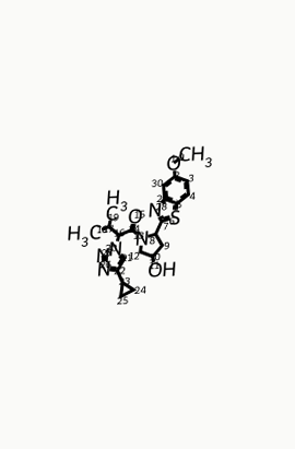 COc1ccc2sc(C3CC(O)CN3C(=O)C(C(C)C)n3cc(C4CC4)nn3)nc2c1